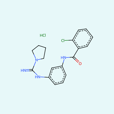 Cl.N=C(Nc1cccc(NC(=O)c2ccccc2Cl)c1)N1CCCC1